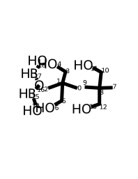 CC(C)(CO)CO.CC(C)(CO)CO.OBOBO